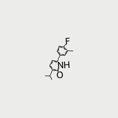 Cc1cc(-c2ccc(C(C)C)c(=O)[nH]2)ccc1F